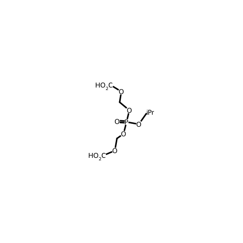 CC(C)OP(=O)(OCOC(=O)O)OCOC(=O)O